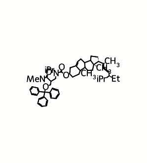 CC[C@H](/C=C/[C@@H](C)[C@H]1CCC2C3CC=C4C[C@@H](OC(=O)N(CC(COC(c5ccccc5)(c5ccccc5)c5ccccc5)C(=O)NC)C(C)C)CC[C@]4(C)C3CC[C@@]21C)C(C)C